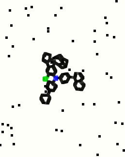 Clc1cc2c(cc1N(c1ccc(-c3ccccc3)cc1)c1ccc(-c3cccc4ccccc34)cc1)C1(c3ccccc3-2)C2CC3CC(C2)CC1C3